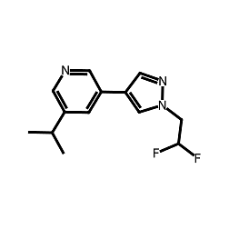 CC(C)c1cncc(-c2cnn(CC(F)F)c2)c1